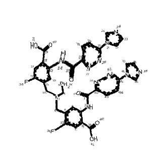 O=C(Nc1cc(CN(CP)Cc2cc(NC(=O)c3ccc(-n4ccnc4)nn3)c(C(=O)O)cc2F)c(F)cc1C(=O)O)c1ccc(-n2ccnc2)nn1